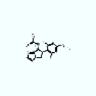 COc1cc(F)c(C2Cn3ccnc3C2NC(=O)O)c(F)c1